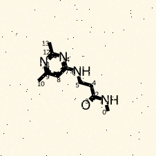 CNC(=O)CCNc1cc(C)nc(C)n1